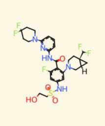 O=C(Nc1cccc(N2CCC(F)(F)CC2)n1)c1c(F)cc(NS(=O)(=O)CCO)cc1N1CC[C@]2(C(F)F)C[C@@H]2C1